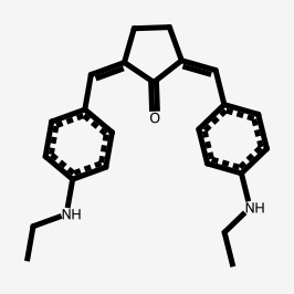 CCNc1ccc(C=C2CCC(=Cc3ccc(NCC)cc3)C2=O)cc1